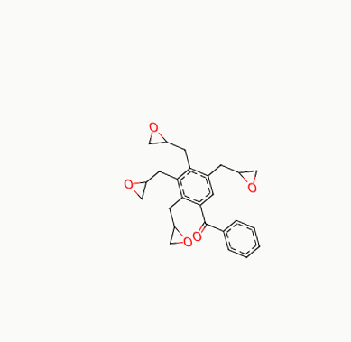 O=C(c1ccccc1)c1cc(CC2CO2)c(CC2CO2)c(CC2CO2)c1CC1CO1